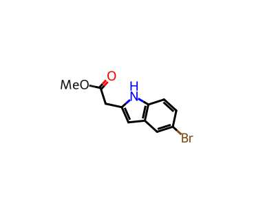 COC(=O)Cc1cc2cc(Br)ccc2[nH]1